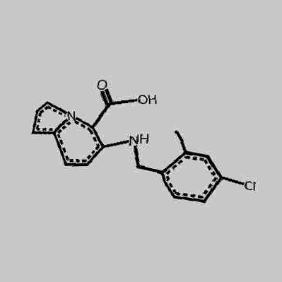 Cc1cc(Cl)ccc1CNc1ccc2cccn2c1C(=O)O